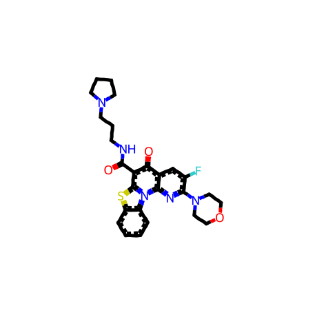 O=C(NCCCN1CCCC1)c1c(=O)c2cc(F)c(N3CCOCC3)nc2n2c1sc1ccccc12